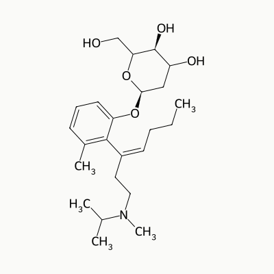 CCC/C=C(/CCN(C)C(C)C)c1c(C)cccc1O[C@@H]1CC(O)[C@H](O)C(CO)O1